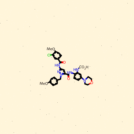 COc1ccc(Cn2nc(NC(=O)c3ccc(OC)c(Cl)c3)cc2C(=O)Nc2ccc(N3CCOCC3)cc2NC(=O)O)cc1